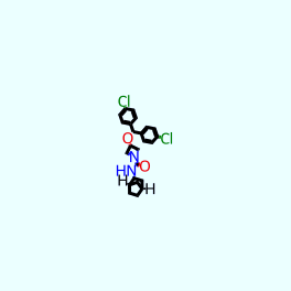 O=C(N[C@H]1C[C@@H]2CC[C@H]1C2)N1CC(OC(c2ccc(Cl)cc2)c2ccc(Cl)cc2)C1